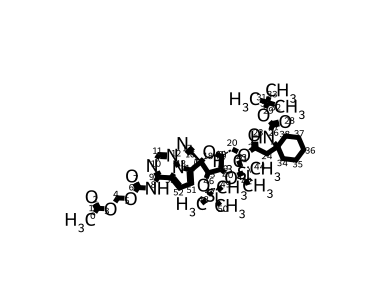 CC(=O)OCOC(=O)Nc1ncnn2c([C@]3(C#N)O[C@H](COC(=O)CC4(NC(=O)OC(C)(C)C)CCCCC4)C(O[Si](C)(C)C)C3O[Si](C)(C)C)ccc12